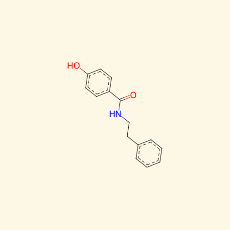 O=C(NCCc1ccccc1)c1ccc(O)cc1